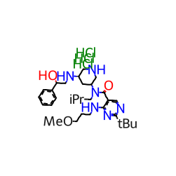 COCCCNc1nc(C(C)(C)C)ncc1C(=O)N(CC(C)C)[C@@H]1CNC[C@H](NCC(O)c2ccccc2)C1.Cl.Cl.Cl